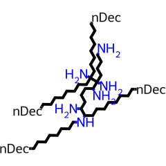 CCCCCCCCCCCCCCCCCCNC(CCCCCCCCCCCCCCCCCC)C(N)CCCC(N)C(N)(CCCCN)C(N)(CCCCCCCCCCCCCCCCCC)CCCCCCCCCCCCCCCCCC